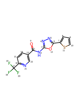 O=C(Nc1nnc(-c2cccs2)o1)c1ccc(C(F)(F)F)nc1